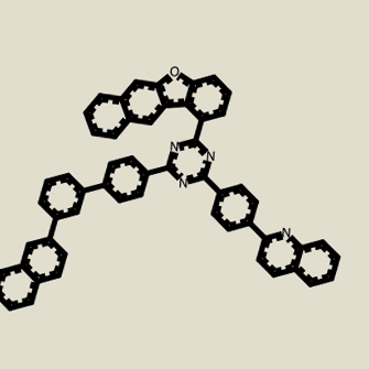 c1cc(-c2ccc(-c3nc(-c4ccc(-c5ccc6ccccc6n5)cc4)nc(-c4cccc5oc6cc7ccccc7cc6c45)n3)cc2)cc(-c2ccc3ccccc3c2)c1